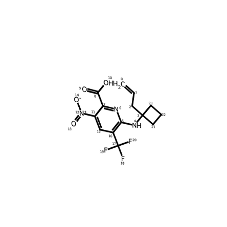 C=CCC1(Nc2nc(C(=O)O)c([N+](=O)[O-])cc2C(F)(F)F)CCC1